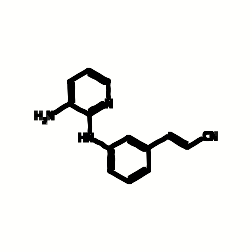 N#CC=Cc1cccc(Nc2ncccc2N)c1